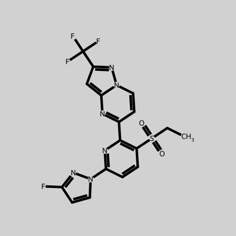 CCS(=O)(=O)c1ccc(-n2ccc(F)n2)nc1-c1ccn2nc(C(F)(F)F)cc2n1